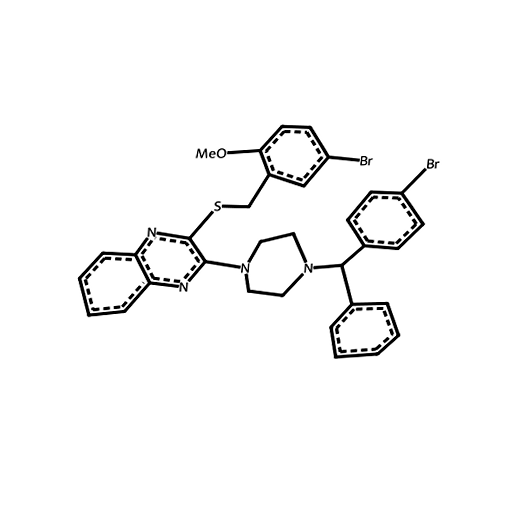 COc1ccc(Br)cc1CSc1nc2ccccc2nc1N1CCN(C(c2ccccc2)c2ccc(Br)cc2)CC1